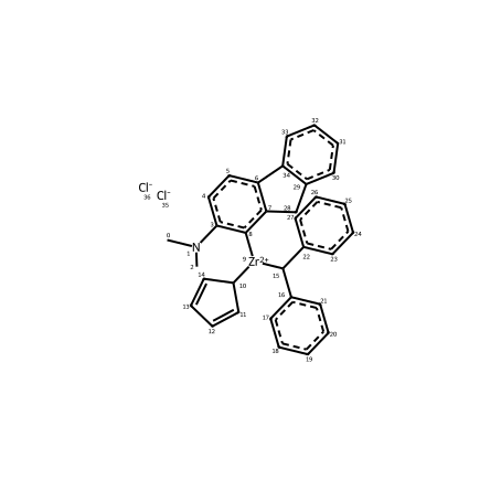 CN(C)c1ccc2c([c]1[Zr+2]([CH]1C=CC=C1)[CH](c1ccccc1)c1ccccc1)Cc1ccccc1-2.[Cl-].[Cl-]